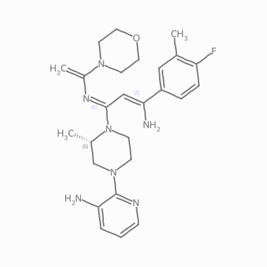 C=C(/N=C(\C=C(/N)c1ccc(F)c(C)c1)N1CCN(c2ncccc2N)C[C@@H]1C)N1CCOCC1